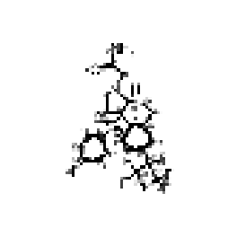 NC(=O)CN1CC[C@]2(S(=O)(=O)c3ccc(F)cc3)c3ccc(C(F)(C(F)(F)F)C(F)(F)F)cc3CC[C@H]12